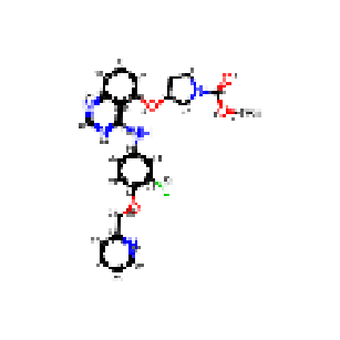 CC(C)(C)OC(=O)N1CC[C@H](Oc2cccc3ncnc(Nc4ccc(OCc5ccccn5)c(Cl)c4)c23)C1